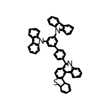 C1=CC2Sc3ccc4c(-c5ccc(-c6cc(-n7c8ccccc8c8ccccc87)cc(-n7c8ccccc8c8ccccc87)c6)cc5)nc5ccccc5c4c3C2C=C1